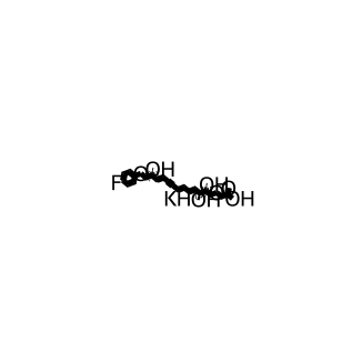 O=C(O)COC[C@@H](O)[C@@H](O)C=CC=CC#CC=C[C@@H](O)COc1ccc(F)cc1.[KH]